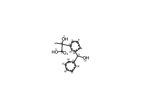 CC(O)(C(=O)O)c1cccc(C(O)c2ccccc2)c1